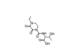 CCN1CCN(C(=O)NC(C(=O)O)C(C)O)C(=O)C1=O